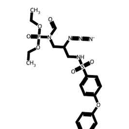 CCOP(=O)(OCC)N(C=O)CC(CNS(=O)(=O)c1ccc(Oc2ccccc2)cc1)N=[N+]=[N-]